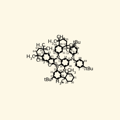 CC(C)(C)c1ccc(N(c2ccc(C(C)(C)C)cc2)c2cc3c4c(c2)N2c5c(cc(C(C)(C)C)cc5C5(C)CCCCC25C)B4c2oc4cc5c(cc4c2N3c2ccc3c(c2)C(C)(C)CCC3(C)C)C(C)(C)CCC5(C)C)cc1